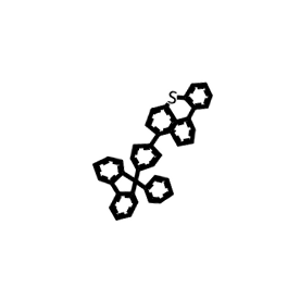 c1ccc(C2(c3ccc(-c4ccc5c6c(cccc46)-c4ccccc4S5)cc3)c3ccccc3-c3ccccc32)cc1